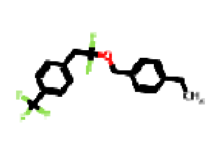 CCc1ccc(COC(F)(F)Cc2ccc(C(F)(F)F)cc2)cc1